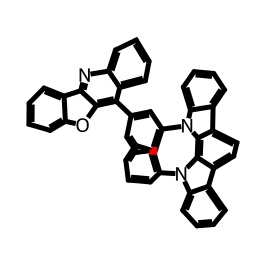 c1ccc(-n2c3ccccc3c3ccc4c5ccccc5n(-c5cccc(-c6c7ccccc7nc7c6oc6ccccc67)c5)c4c32)cc1